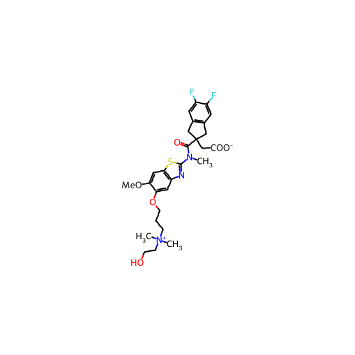 COc1cc2sc(N(C)C(=O)C3(CC(=O)[O-])Cc4cc(F)c(F)cc4C3)nc2cc1OCCC[N+](C)(C)CCO